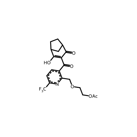 CC(=O)OCCOCc1nc(C(F)(F)F)ccc1C(=O)C1=C(O)C2CCC(C2)C1=O